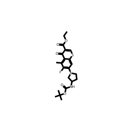 CCOC(=O)c1csc2cc(N3CCC(NC(=O)OC(C)(C)C)C3)c(F)c(C)c2c1=O